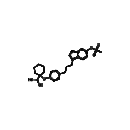 CS(=O)(=O)Oc1ccc2c(ccn2CCCc2ccc(OC3(C(O)O)CCCCC3)cc2)c1